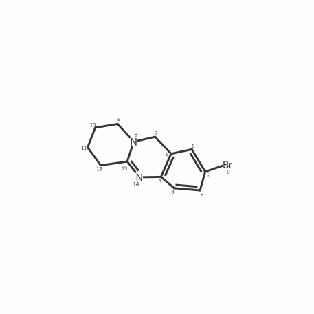 Brc1ccc2c(c1)CN1CCCCC1=N2